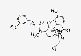 CN(C(=O)/C=C/c1cccc(C(F)(F)F)c1)C1CC[C@@]2(O)[C@H]3C(=O)c4ccc(O)c5c4[C@@]2(CCN3CC2CC2)C1O5